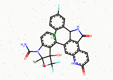 [2H]C1([2H])N(C(N)=O)c2ccc(F)c(-c3cc4[nH]c(=O)ccc4c4c3C(c3cc(F)ccc3Cl)NC4=O)c2C1(O)C(F)(F)F